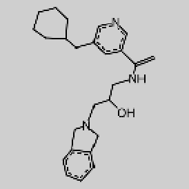 C=C(NCC(O)CN1Cc2ccccc2C1)c1cncc(CC2CCCCC2)c1